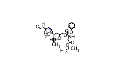 CC#CC(CC(COP(=O)(NCC(=O)OC(C)C)Oc1ccccc1)OC)N(C)/C=C\C(=O)NC=O